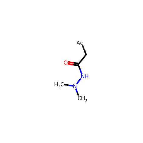 CC(=O)CC(=O)NN(C)C